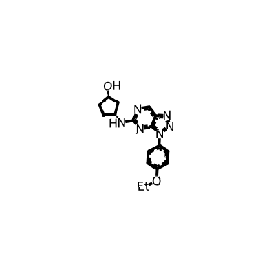 CCOc1ccc(-n2nnc3cnc(N[C@@H]4CC[C@@H](O)C4)nc32)cc1